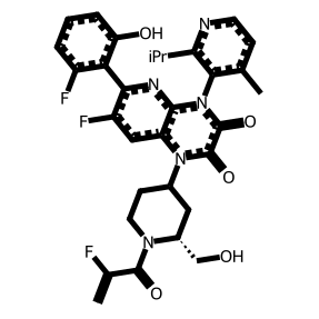 C=C(F)C(=O)N1CCC(n2c(=O)c(=O)n(-c3c(C)ccnc3C(C)C)c3nc(-c4c(O)cccc4F)c(F)cc32)C[C@@H]1CO